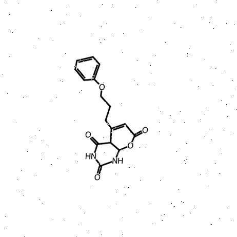 O=C1NC(=O)C2C(CCCOc3ccccc3)=CC(=O)OC2N1